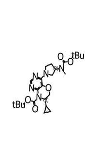 CN(C(=O)OC(C)(C)C)[C@@H]1CCN(c2ncnc3c2OC[C@@H](C2CC2)N3C(=O)OC(C)(C)C)C1